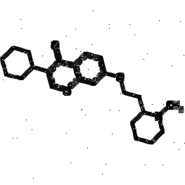 CN1CCCCC1CCOc1ccc2c(=O)c(C3CCCCC3)coc2c1